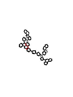 C1=CC(c2cc3ccccc3c3ccccc23)C(N(c2ccc(-c3cccc(-c4ccc(-c5ccc(N(c6cccc(-c7cc8ccccc8c8ccccc78)c6)c6ccc7sc8c9ccccc9ccc8c7c6)cc5)cc4)c3)cc2)c2cccc3c2sc2c4ccccc4ccc32)C=C1